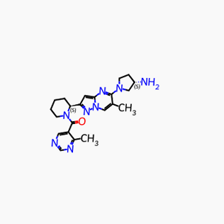 Cc1cn2nc([C@@H]3CCCCN3C(=O)c3cncnc3C)cc2nc1N1CC[C@H](N)C1